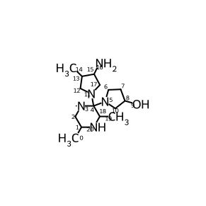 CC1C[N]C(N2CCC(O)C2)(N2CC(C)C(N)C2)C(C)N1